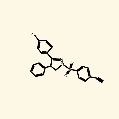 C#Cc1ccc(S(=O)(=O)N2CC(c3ccccc3)C(c3ccc(Cl)cc3)=N2)cc1